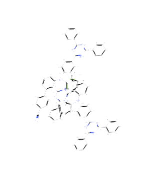 N#Cc1ccc(-c2cccc(-n3c4ccccc4c4cc(-c5nc(-c6ccccc6)nc(-c6ccccc6)n5)ccc43)c2-c2nc(-c3ccccc3)nc(-c3c(-n4c5ccccc5c5cc(-c6nc(-c7ccccc7)nc(-c7ccccc7)n6)ccc54)cccc3C(F)(F)F)n2)cc1